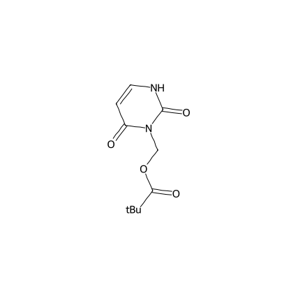 CC(C)(C)C(=O)OCn1c(=O)cc[nH]c1=O